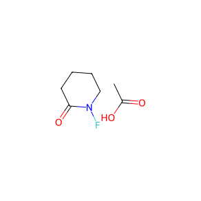 CC(=O)O.O=C1CCCCN1F